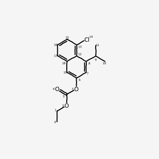 CCOC(=O)Oc1cc(C(C)C)c2c(Cl)cccc2c1